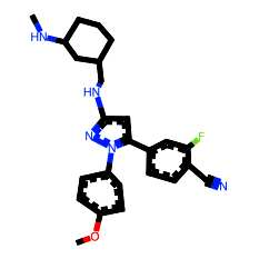 CNC1CCCC(CNc2cc(-c3ccc(C#N)c(F)c3)n(-c3ccc(OC)cc3)n2)C1